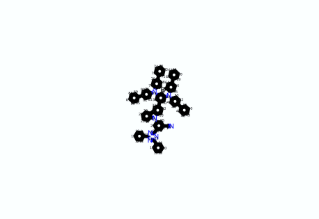 N#Cc1cc(-c2nc(-c3ccccc3)nc(-c3ccccc3)n2)cc(-n2c3ccccc3c3cc(-c4cc5c6c(c4)N(c4ccc(-c7ccccc7)cc4)c4ccc(-c7ccccc7)cc4B6c4cc(-c6ccccc6)ccc4N5c4ccc(-c5ccccc5)cc4)ccc32)c1